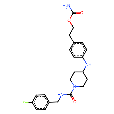 NC(=O)OCCc1ccc(NC2CCN(C(=O)NCc3ccc(F)cc3)CC2)cc1